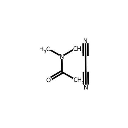 CC(=O)N(C)C.N#CC#N